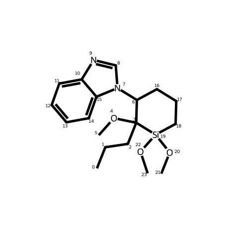 CCCC1(OC)C(n2cnc3ccccc32)CCC[Si]1(OC)OC